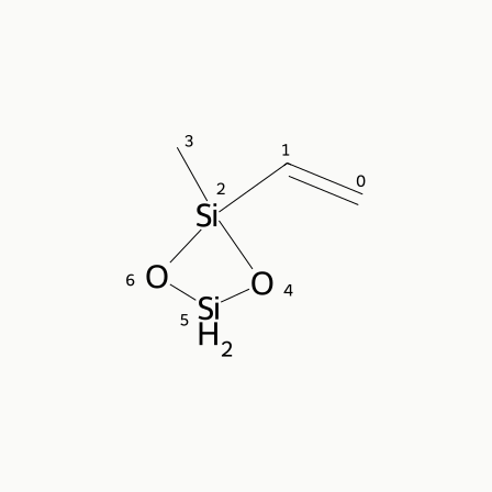 C=C[Si]1(C)O[SiH2]O1